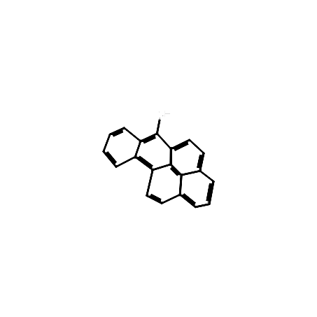 Sc1c2ccccc2c2ccc3cccc4ccc1c2c43